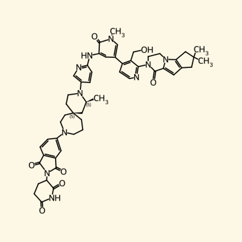 C[C@H]1C[C@]2(CCCN(c3ccc4c(c3)C(=O)N(C3CCC(=O)NC3=O)C4=O)CC2)CCN1c1ccc(Nc2cc(-c3ccnc(N4CCn5c(cc6c5CC(C)(C)C6)C4=O)c3CO)cn(C)c2=O)nc1